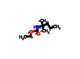 CCCC(C)(C)NC(=O)OCC